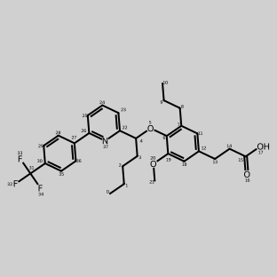 CCCCC(Oc1c(CCC)cc(CCC(=O)O)cc1OC)c1cccc(-c2ccc(C(F)(F)F)cc2)n1